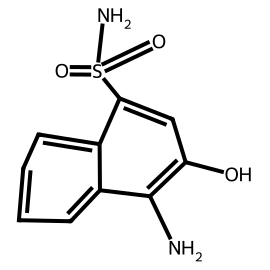 Nc1c(O)cc(S(N)(=O)=O)c2ccccc12